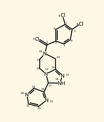 O=C(c1ccc(Cl)c(Cl)c1)N1CCN2C(=NNC2c2cnccn2)C1